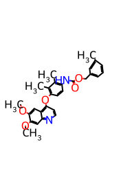 COc1cc2nccc(Oc3ccc(NC(=O)OCc4cccc(C)c4)c(C)c3C)c2cc1OC